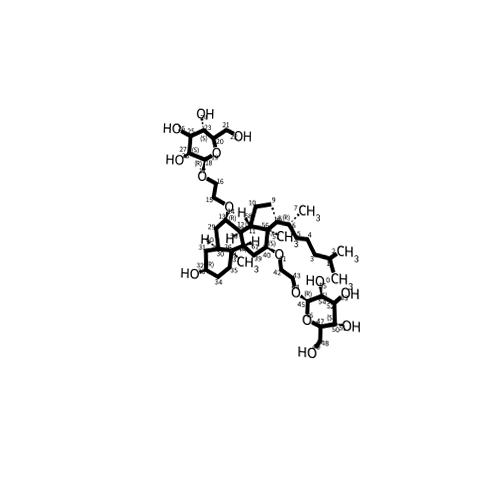 CC(C)CCC[C@@H](C)[C@H]1CC[C@H]2[C@@H]3[C@H](OCCO[C@@H]4OC(CO)[C@@H](O)C(O)[C@@H]4O)C[C@@H]4C[C@H](O)CC[C@]4(C)[C@H]3C[C@H](OCCO[C@@H]3OC(CO)[C@@H](O)C(O)[C@@H]3O)[C@]12C